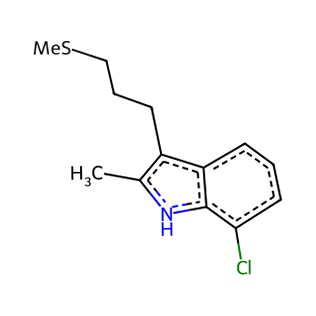 CSCCCc1c(C)[nH]c2c(Cl)cccc12